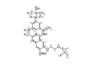 COc1cc2nc(C)nc(N[C@H](C)c3cc(N)cc(C(F)(F)C(C)(C)O)c3)c2cc1OCCOC1CC1(F)F